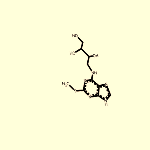 CSc1nc(NCC(O)C(O)CO)c2nc[nH]c2n1